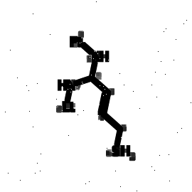 CCNC(C=CC[SiH3])NCC